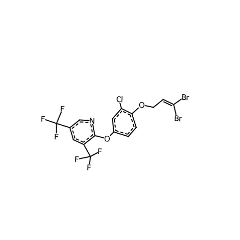 FC(F)(F)c1cnc(Oc2ccc(OCC=C(Br)Br)c(Cl)c2)c(C(F)(F)F)c1